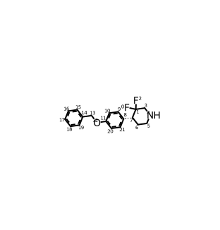 FC1(F)CNCC[C@@H]1c1ccc(OCc2ccccc2)cc1